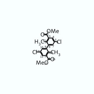 COC(=O)c1cc(Cl)cc(-c2cc(Cl)cc(C(=O)OC)c2C)c1C